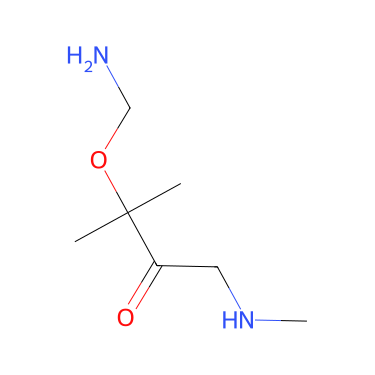 CNCC(=O)C(C)(C)OCN